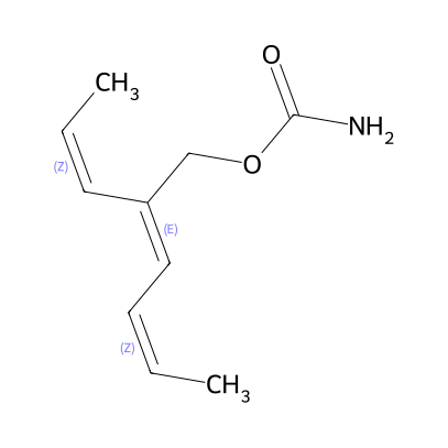 C\C=C/C=C(\C=C/C)COC(N)=O